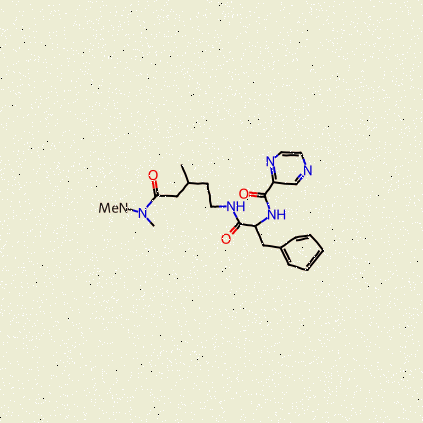 CNN(C)C(=O)CC(C)CCNC(=O)C(Cc1ccccc1)NC(=O)c1cnccn1